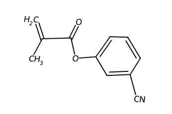 C=C(C)C(=O)Oc1cccc(C#N)c1